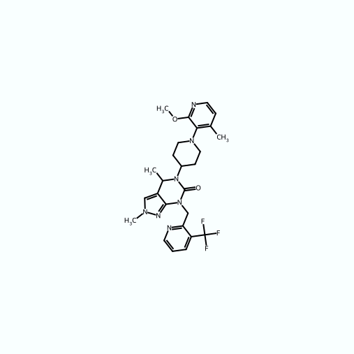 COc1nccc(C)c1N1CCC(N2C(=O)N(Cc3ncccc3C(F)(F)F)c3nn(C)cc3C2C)CC1